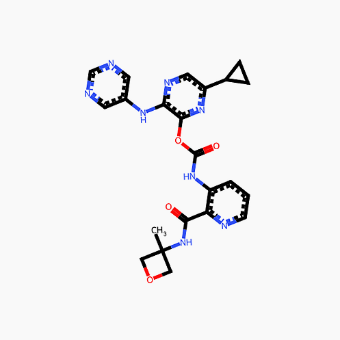 CC1(NC(=O)c2ncccc2NC(=O)Oc2nc(C3CC3)cnc2Nc2cncnc2)COC1